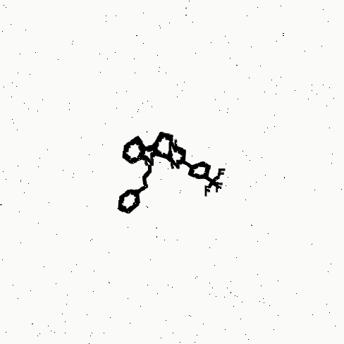 FC(F)(F)c1ccc(-c2cn3ccc4c5ccccc5n(CCCc5ccccc5)c4c3n2)cc1